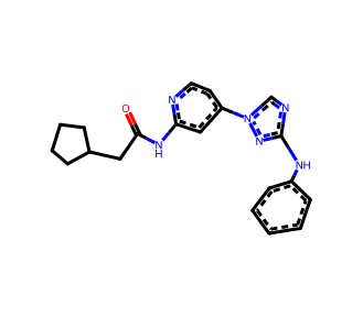 O=C(CC1CCCC1)Nc1cc(-n2cnc(Nc3ccccc3)n2)ccn1